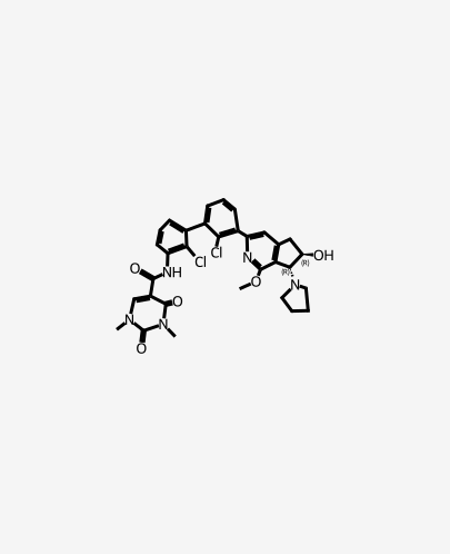 COc1nc(-c2cccc(-c3cccc(NC(=O)c4cn(C)c(=O)n(C)c4=O)c3Cl)c2Cl)cc2c1[C@@H](N1CCCC1)[C@H](O)C2